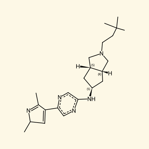 CC1=NC(C)C=C1c1cnc(N[C@H]2C[C@@H]3CN(CCC(C)(C)C)C[C@@H]3C2)cn1